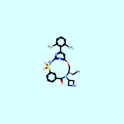 Cc1cccc(C)c1-c1cc2nc(n1)NS(=O)(=O)c1cccc(c1)C(=O)N(C1CNC1)[C@H](CC(C)C)CO2